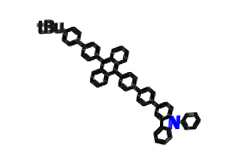 CC(C)(C)c1ccc(-c2ccc(-c3c4ccccc4c(-c4ccc(-c5ccc(-c6ccc7c(c6)c6ccccc6n7-c6ccccc6)cc5)cc4)c4ccccc34)cc2)cc1